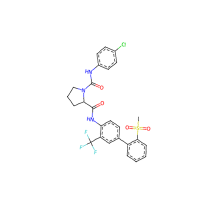 CS(=O)(=O)c1ccccc1-c1ccc(NC(=O)C2CCCN2C(=O)Nc2ccc(Cl)cc2)c(C(F)(F)F)c1